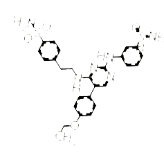 CCOc1ccc(-c2cnc(Nc3cccc([SH](=N)=O)c3)nc2NCCc2ccc(S(N)(=O)=O)cc2)cc1